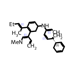 C=C/C(=C\NC)C1=C(/C(C)=C/CC)C=CC(NC(/C=C\C(=C)[C@@H]2C=CC=CC2)=C/C)C1